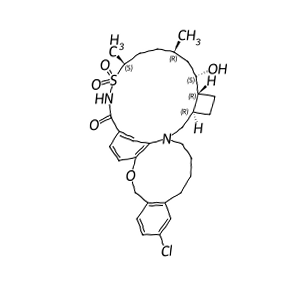 C[C@@H]1CC[C@H](C)S(=O)(=O)NC(=O)c2ccc3c(c2)N(CCCCc2cc(Cl)ccc2CO3)C[C@@H]2CC[C@H]2[C@@H](O)C1